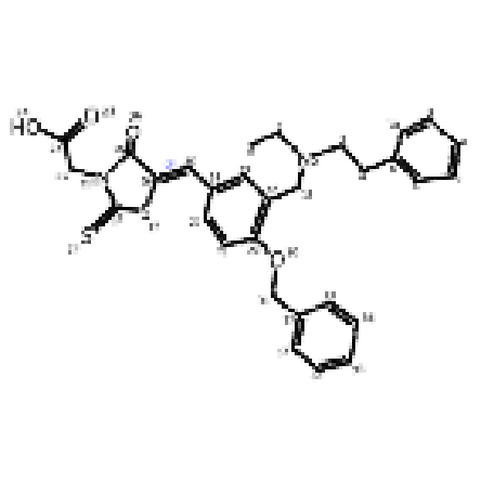 CCN(CCc1ccccc1)Cc1cc(/C=C2\SC(=S)N(CC(=O)O)C2=O)ccc1OCc1ccccc1